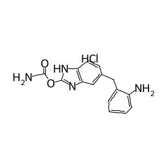 Cl.NC(=O)Oc1nc2cc(Cc3ccccc3N)ccc2[nH]1